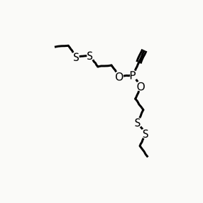 C#CP(OCCSSCC)OCCSSCC